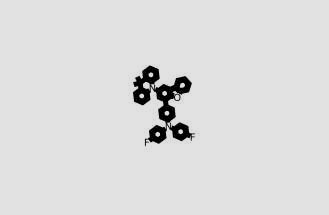 CC1(C)c2ccccc2N(c2cc(-c3ccc(N(c4ccc(F)cc4)c4ccc(F)cc4)cc3)c3oc4ccccc4c3c2)c2ccccc21